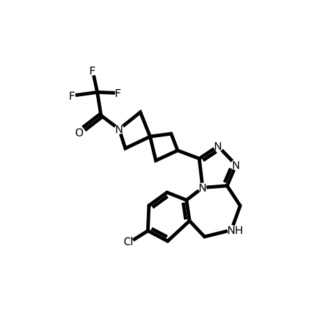 O=C(N1CC2(CC(c3nnc4n3-c3ccc(Cl)cc3CNC4)C2)C1)C(F)(F)F